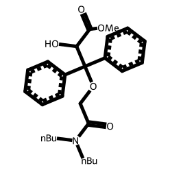 CCCCN(CCCC)C(=O)COC(c1ccccc1)(c1ccccc1)C(O)C(=O)OC